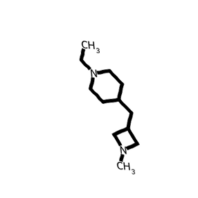 CCN1CCC(CC2CN(C)C2)CC1